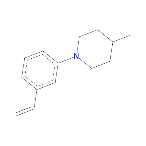 C=Cc1cccc(N2CCC(C)CC2)c1